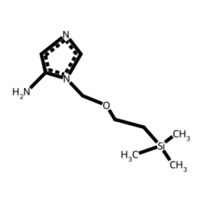 C[Si](C)(C)CCOCn1cncc1N